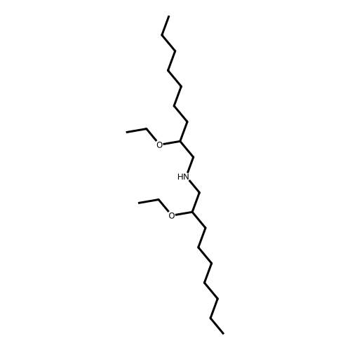 CCCCCCCC(CNCC(CCCCCCC)OCC)OCC